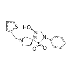 O=S1(=O)N(c2ccccc2)C[C@H](O)[C@]12CCN(Cc1cccs1)C2